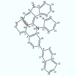 c1ccc(-c2ccc(-c3ccc4ccccc4c3)cc2N(c2ccccc2)c2cccc3sc4ccccc4c23)cc1